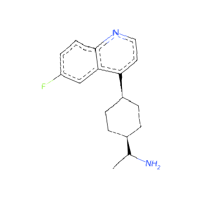 CC(N)[C@H]1CC[C@@H](c2ccnc3ccc(F)cc32)CC1